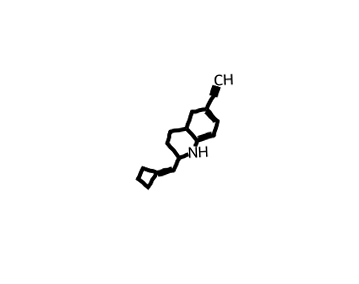 C#CC1=CC=C2NC(C=C3CCC3)CCC2C1